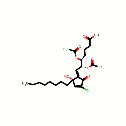 CCCCCCCC[C@@]1(O)C=C(Cl)C(=O)C1=C[C@@H](OC(C)=O)[C@H](CCCC(=O)O)OC(C)=O